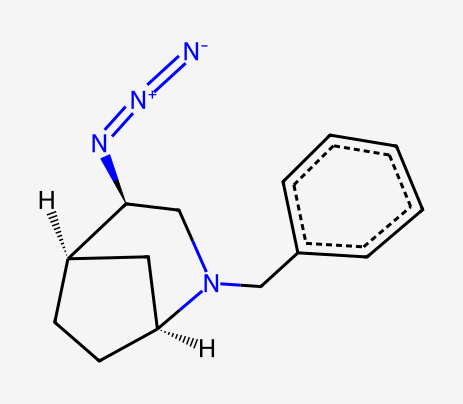 [N-]=[N+]=N[C@H]1CN(Cc2ccccc2)[C@H]2CC[C@@H]1C2